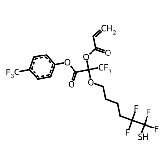 C=CC(=O)OC(OCCCCC(F)(F)C(F)(F)S)(C(=O)Oc1ccc(C(F)(F)F)cc1)C(F)(F)F